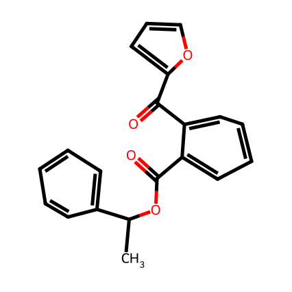 CC(OC(=O)c1ccccc1C(=O)c1ccco1)c1ccccc1